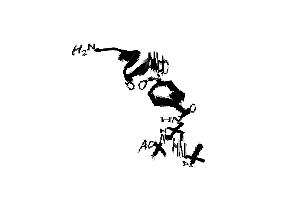 CC(=O)C(C)(C)NCC(C)(CNC(=O)c1ccc(S(=O)(=O)NC(=O)CCCCN)cc1)CNC(C)(C)C(C)=O